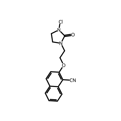 N#Cc1c(OCCN2CCN(Cl)C2=O)ccc2ccccc12